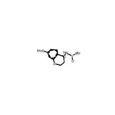 COc1ccc2c(c1)OCC[C@@H]2N[S+]([O-])C(C)(C)C